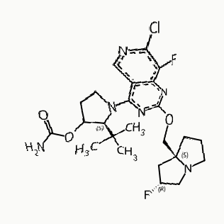 CC(C)(C)[C@H]1C(OC(N)=O)CCN1c1nc(OC[C@@]23CCCN2C[C@H](F)C3)nc2c(F)c(Cl)ncc12